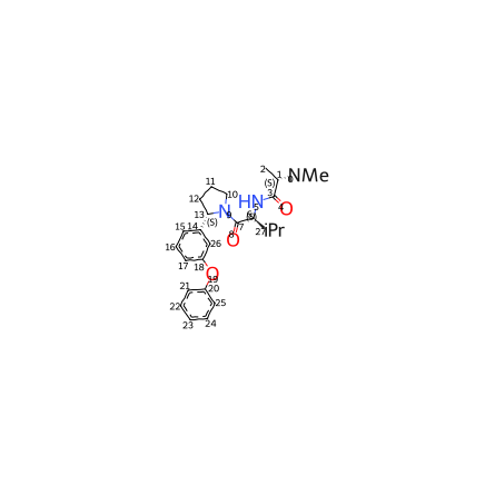 CN[C@@H](C)C(=O)N[C@H](C(=O)N1CCC[C@H]1c1cccc(Oc2ccccc2)c1)C(C)C